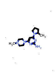 CC1CCCN1c1cc(N2CCN(C)CC2)nc(N)n1